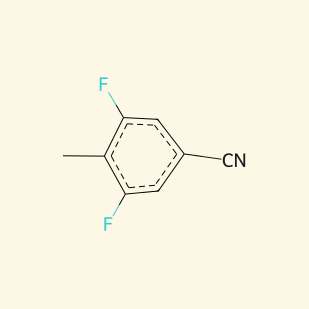 Cc1c(F)cc(C#N)cc1F